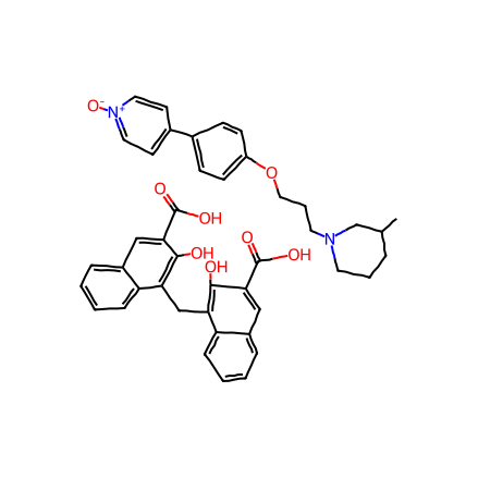 CC1CCCN(CCCOc2ccc(-c3cc[n+]([O-])cc3)cc2)C1.O=C(O)c1cc2ccccc2c(Cc2c(O)c(C(=O)O)cc3ccccc23)c1O